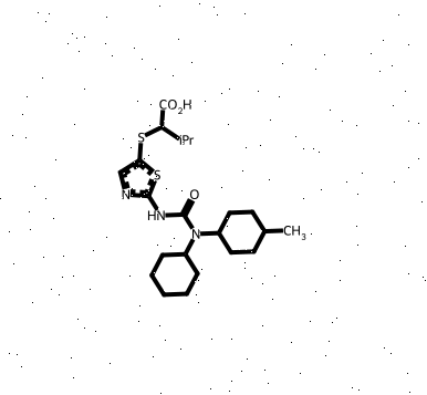 CC1CCC(N(C(=O)Nc2ncc(SC(C(=O)O)C(C)C)s2)C2CCCCC2)CC1